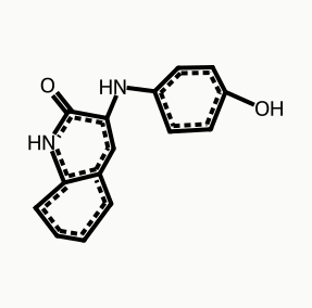 O=c1[nH]c2ccccc2cc1Nc1ccc(O)cc1